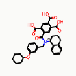 O=C(O)c1cc(C(=O)O)c(C(=O)N(Cc2cccc(OC3CCCCC3)c2)[C@H]2CCCc3ccccc32)cc1C(=O)O